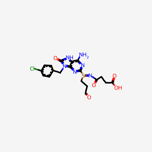 Nc1nc(S(CCC=O)=NC(=O)CCC(=O)O)nc2c1[nH]c(=O)n2Cc1ccc(Cl)cc1